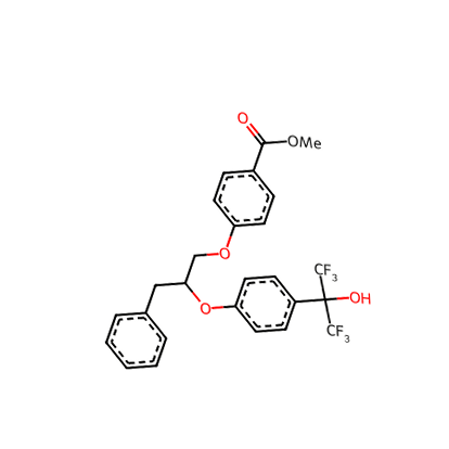 COC(=O)c1ccc(OCC(Cc2ccccc2)Oc2ccc(C(O)(C(F)(F)F)C(F)(F)F)cc2)cc1